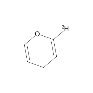 [2H]C1=CCC=CO1